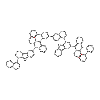 c1ccc(-c2ccccc2-c2c3ccccc3c(-c3cc(-c4cccc5cc(-c6ccc(-c7ccccc7)c(-c7c8ccccc8c(-c8ccc9oc%10c(-c%11cccc%12ccccc%11%12)cccc%10c9c8)c8ccccc78)c6)ccc45)c4oc5ccccc5c4c3)c3ccccc23)cc1